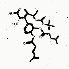 CC(C)CCC(=O)Oc1ccc(C(C(C)C(C)OC(=O)OC(C)(C)C)[C@H](N)C(=O)O)cc1OC(=O)CCC(C)C